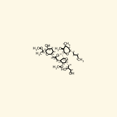 C=C1[C@H](C)C[C@H](CCCC)O[C@@H]1C[C@@H]1O[C@H](C[C@H](O)CO)[C@H](OC)[C@H]1CC(=O)C[C@H]1CC[C@H](O)[C@@H](C(C)OC)O1